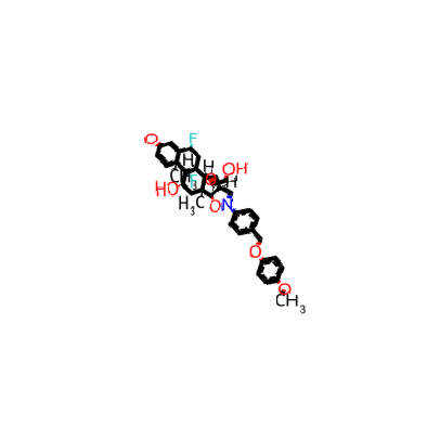 COc1ccc(OCc2ccc(N3C[C@@H]4C[C@H]5[C@@H]6C[C@H](F)C7=CC(=O)C=C[C@]7(C)[C@@]6(F)[C@@H](O)C[C@]5(C)[C@]4(C(=O)CO)O3)cc2)cc1